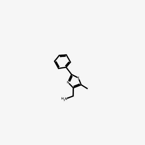 Cc1sc(-c2ccccc2)nc1CN